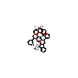 CC1(C)c2ccccc2-c2cc(-c3ccccc3N(c3ccccc3-c3ccc(-c4ccccc4)cc3)c3ccccc3-c3cccc4c3-c3ccccc3C4(C)C)ccc21